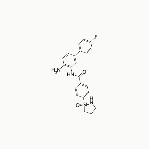 Nc1ccc(-c2ccc(F)cc2)cc1NC(=O)c1ccc([SH]2(=O)CCCN2)cc1